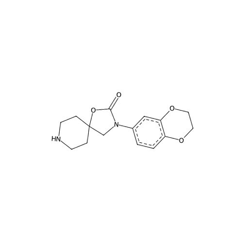 O=C1OC2(CCNCC2)CN1c1ccc2c(c1)OCCO2